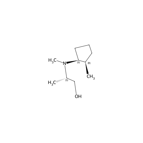 C[C@@H]1CCC[C@@H]1N(C)[C@@H](C)CO